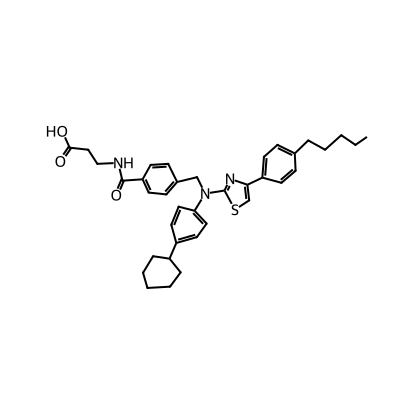 CCCCCc1ccc(-c2csc(N(Cc3ccc(C(=O)NCCC(=O)O)cc3)c3ccc(C4CCCCC4)cc3)n2)cc1